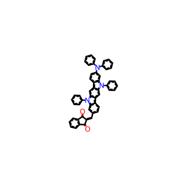 O=C1C(=Cc2ccc3c4cc5c(cc4n(-c4ccccc4)c3c2)c2ccc(N(c3ccccc3)c3ccccc3)cc2n5-c2ccccc2)C(=O)c2ccccc21